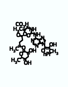 CCCO[C@H]([C@H](C)O)n1cnc2c(NC(=O)N[C@H](C(=O)O)[C@@H](C)OC(=O)CC[C@@H](C)O[C@@H]3OC(C)[C@H](O)C[C@@H]3O)ncnc21